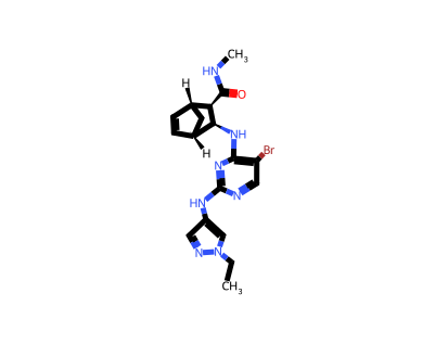 CCn1cc(Nc2ncc(Br)c(N[C@@H]3[C@H](C(=O)NC)[C@H]4C=C[C@@H]3C4)n2)cn1